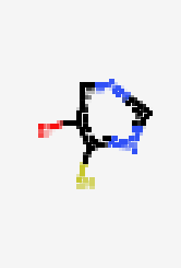 [O]c1cncnc1S